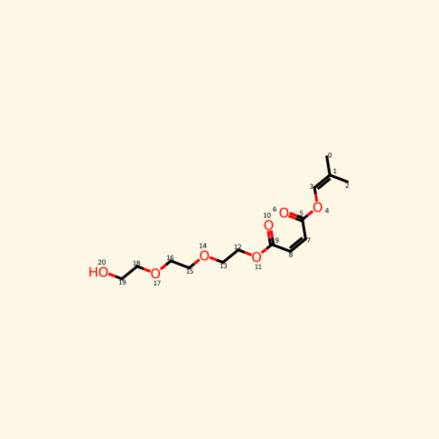 CC(C)=COC(=O)/C=C\C(=O)OCCOCCOCCO